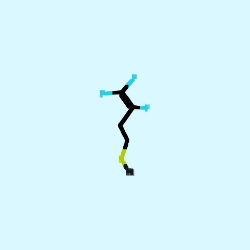 [CH2]CSCCC(F)=C(F)F